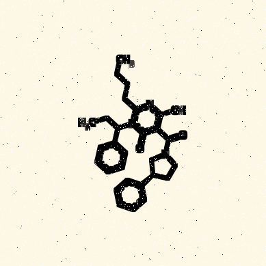 CCCCc1nc(O)c(C(=O)N2CC[C@@H](c3ccccc3)C2)c(=O)n1C(CC)c1ccccc1